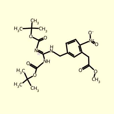 COC(=O)Cc1cc(CN/C(=N\C(=O)OC(C)(C)C)NC(=O)OC(C)(C)C)ccc1[N+](=O)[O-]